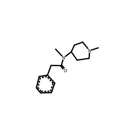 CN1CCC(N(C)C(=O)Cc2ccccc2)CC1